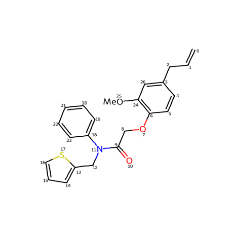 C=CCc1ccc(OCC(=O)N(Cc2cccs2)c2ccccc2)c(OC)c1